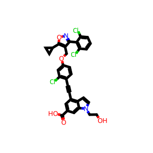 O=C(O)c1cc(C#Cc2ccc(OCc3c(-c4c(Cl)cccc4Cl)noc3C3CC3)cc2Cl)c2ccn(CCO)c2c1